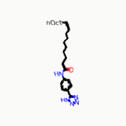 CCCCCCCC/C=C\CCCCCCCC(=O)Nc1ccc(-c2nnn[nH]2)cc1